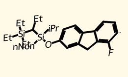 CCCCCCCCC[Si](Oc1ccc2c(c1)Cc1c(F)[c]ccc1-2)(C(C)C)C(CC)[Si](CC)(CC)CC